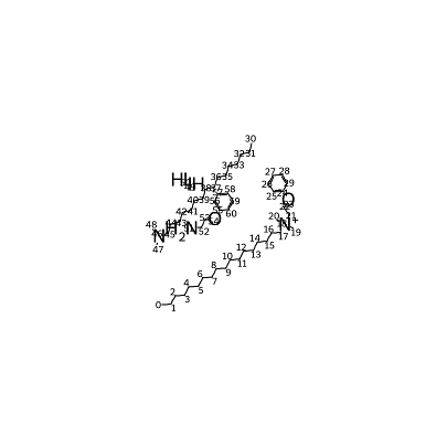 CCCCCCCCCCCCCCCCCC[N+](C)(C)CCOc1ccccc1.CCCCCCCCCCCCCCCCN(C)C.I.I.NCCOc1ccccc1